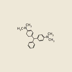 CN(C)C1=CC=C(C(c2ccccc2)c2ccc(N(C)C)cc2)CC1